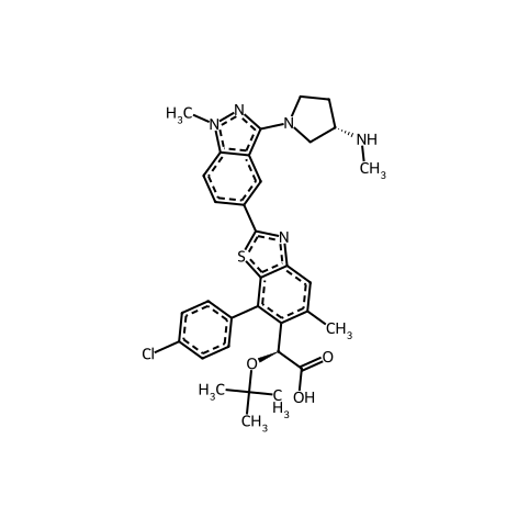 CN[C@H]1CCN(c2nn(C)c3ccc(-c4nc5cc(C)c([C@H](OC(C)(C)C)C(=O)O)c(-c6ccc(Cl)cc6)c5s4)cc23)C1